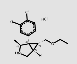 CCOC[C@@H]1[C@H]2CN[C@@H](C)[C@]21c1ccc(Cl)c(Cl)c1.Cl